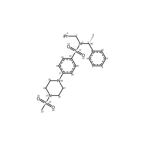 CC(C)CN([C@H](C)c1ccccc1)S(=O)(=O)c1ccc(N2CCN(S(C)(=O)=O)CC2)cc1